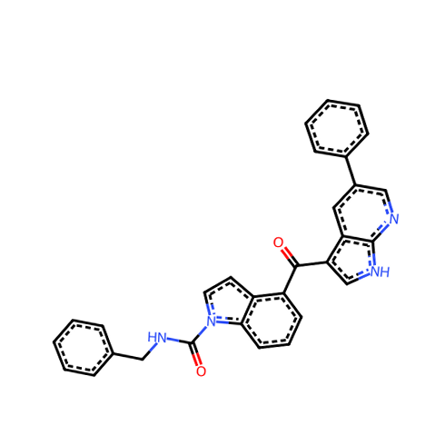 O=C(c1c[nH]c2ncc(-c3ccccc3)cc12)c1cccc2c1ccn2C(=O)NCc1ccccc1